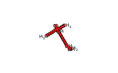 COCCOCCOCCOCCNC(=O)CCOCC(COCCC(=O)NCCOCCOCCOCCOCCOCCOCCOCCOC)(COCCC(=O)NCCOCCOCCOCCOCCOCCOCCOCCOCCOCCOCCOCCOCCC(=O)NCc1ccc(COc2nc(N)nc3[nH]cnc23)cc1)NC(=O)CCSSCCN1C(=O)C=CC1=O